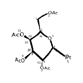 CC(=O)OC[C@H]1OC(C(C)C)[C@H](OC(C)=O)[C@@H](OC(C)=O)[C@H]1OC(C)=O